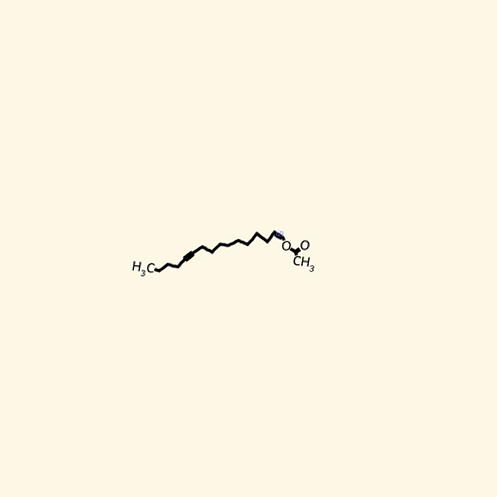 CCCCC#CCCCCCCCC/C=C\OC(C)=O